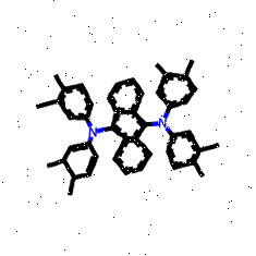 Cc1ccc(N(C2=CC(C)C(C)C=C2)c2c3ccccc3c(N(c3ccc(C)c(C)c3)c3ccc(C)c(C)c3)c3ccccc23)cc1C